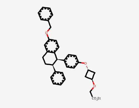 CCOC(=O)CO[C@H]1C[C@H](Oc2ccc([C@@H]3c4ccc(OCc5ccccc5)cc4CC[C@@H]3c3ccccc3)cc2)C1